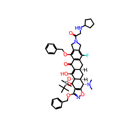 CN(C)[C@@H]1c2onc(OCc3ccccc3)c2C(=O)[C@@]2(O[Si](C)(C)C(C)(C)C)C(O)=C3C(=O)c4c(c(F)c5c(c4OCc4ccccc4)CN(C(=O)CNC4CCCC4)C5)C[C@H]3C[C@@H]12